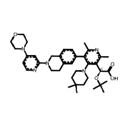 Cc1nc(C)c([C@H](OC(C)(C)C)C(=O)O)c(N2CCC(C)(C)CC2)c1-c1ccc2c(c1)CCN(c1cc(N3CCOCC3)ccn1)C2